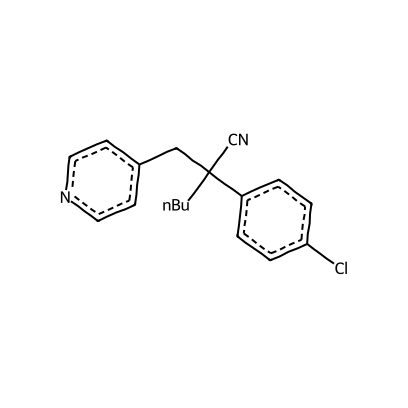 CCCCC(C#N)(Cc1ccncc1)c1ccc(Cl)cc1